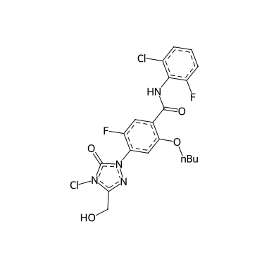 CCCCOc1cc(-n2nc(CO)n(Cl)c2=O)c(F)cc1C(=O)Nc1c(F)cccc1Cl